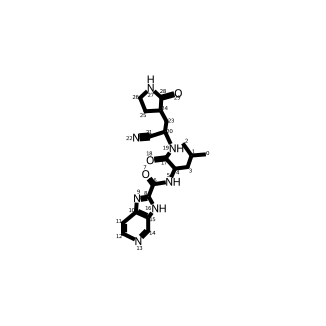 CC(C)CC(NC(=O)c1nc2ccncc2[nH]1)C(=O)NC(C#N)CC1CCNC1=O